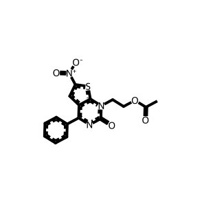 CC(=O)OCCn1c(=O)nc(-c2ccccc2)c2cc([N+](=O)[O-])sc21